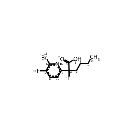 CCCCC(F)(C(=O)O)c1ccc(F)c(Br)n1